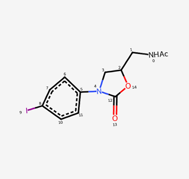 CC(=O)NCC1CN(c2ccc(I)cc2)C(=O)O1